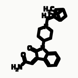 CC1(C)C2CC(CN3CCC(N4C(=O)/C(=C\C(N)=O)c5ccccc54)CC3)C1C2